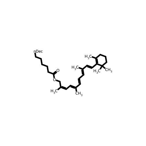 CCCCCCCCCCCCCCCC(=O)OCC(C)=CC=C(C)C=CC=C(C)C=CC1=C(C)CCCC1(C)C